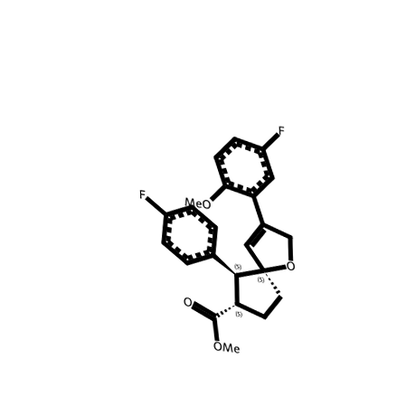 COC(=O)[C@H]1CC[C@@]2(C=C(c3cc(F)ccc3OC)CO2)[C@@H]1c1ccc(F)cc1